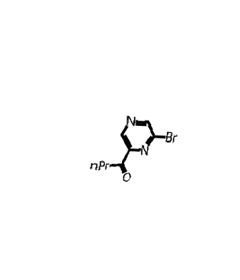 CCCC(=O)c1cncc(Br)n1